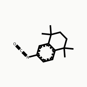 CC1(C)CCC(C)(C)c2cc(N=C=O)ccc21